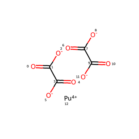 O=C([O-])C(=O)[O-].O=C([O-])C(=O)[O-].[Pu+4]